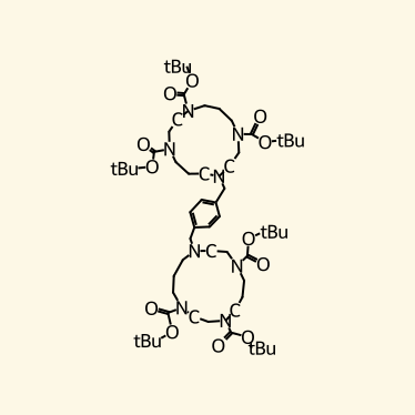 CC(C)(C)OC(=O)N1CCCN(C(=O)OC(C)(C)C)CCN(C(=O)OC(C)(C)C)CCCN(Cc2ccc(CN3CCCN(C(=O)OC(C)(C)C)CCN(C(=O)OC(C)(C)C)CCCN(C(=O)OC(C)(C)C)CC3)cc2)CC1